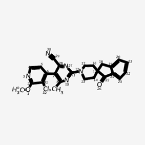 COc1nccc(-c2c(C)nc(N3CCC4(CC3)Cc3ccccc3C4=O)nc2C#N)c1Cl